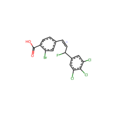 O=C(O)c1ccc(/C=C\C(F)c2cc(Cl)c(Cl)c(Cl)c2)cc1Br